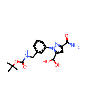 CC(C)(C)OC(=O)NCc1cccc(-n2nc(C(N)=O)cc2C(O)O)c1